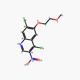 COCCOc1cc2c(Cl)c([N+](=O)[O-])cnc2cc1Br